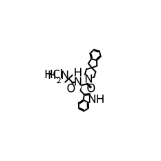 CC(C)(N)C(=O)N[C@H](Cc1c[nH]c2ccccc12)C(=O)N1CCC2(CC1)Cc1ccccc1C2.Cl